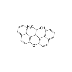 CC(C)C1c2c(ccc3ccccc23)Oc2ccc3ccccc3c21